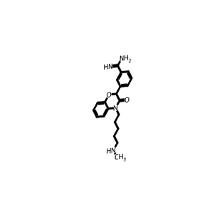 CNCCCCCN1C(=O)C(c2cccc(C(=N)N)c2)Oc2ccccc21